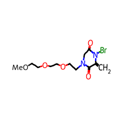 C=C1C(=O)N(CCOCCOCCOC)CC(=O)N1Br